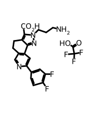 NCCCn1nc2c(c1C(=O)O)CCc1cnc(-c3ccc(F)c(F)c3)cc1-2.O=C(O)C(F)(F)F